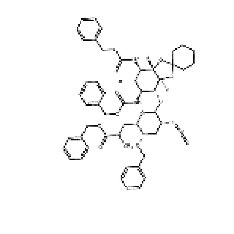 CN(C[C@H]1OC(O[C@@H]2[C@@H](NC(=O)OCc3ccccc3)[C@H](O)[C@@H](NC(=O)OCc3ccccc3)[C@@H]3OC4(CCCCC4)O[C@@H]23)[C@H](N=[N+]=[N-])C[C@@H]1OCc1ccccc1)C(=O)OCc1ccccc1